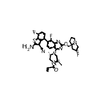 C=CC(=O)N1C[C@H](C)N(c2nc(OC[C@@]34CCCN3C[C@H](F)C4)nc3c(F)c(-c4ccc(F)c5sc(N)c(C#N)c45)ccc23)C[C@H]1C